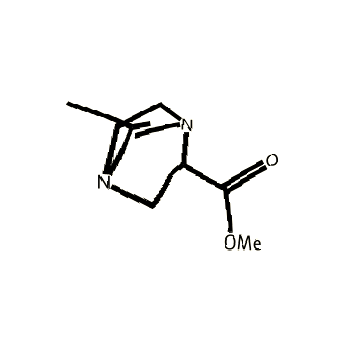 COC(=O)C1CN2CCN1C=C2C